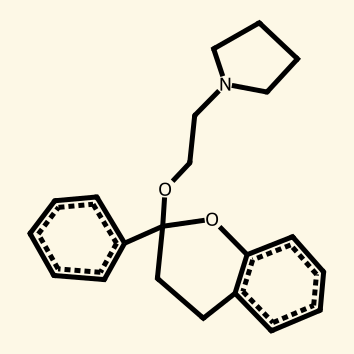 c1ccc(C2(OCCN3CCCC3)CCc3ccccc3O2)cc1